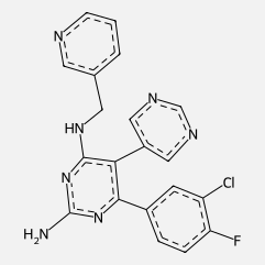 Nc1nc(NCc2cccnc2)c(-c2cncnc2)c(-c2ccc(F)c(Cl)c2)n1